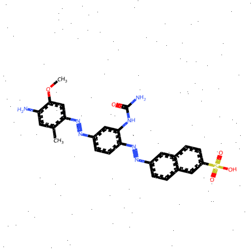 COc1cc(N=Nc2ccc(N=Nc3ccc4cc(S(=O)(=O)O)ccc4c3)c(NC(N)=O)c2)c(C)cc1N